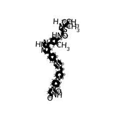 Cc1cc(-c2n[nH]c3ncc(-c4ccc(N5CCN(CC6CCN(c7ccc(N8CCC(=O)NC8=O)cc7)CC6)CC5)cc4)cc23)ccc1CNC(=O)c1cnc(C(C)(C)C)s1